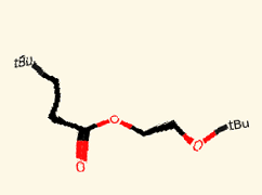 CC(C)(C)CCC(=O)OCCOC(C)(C)C